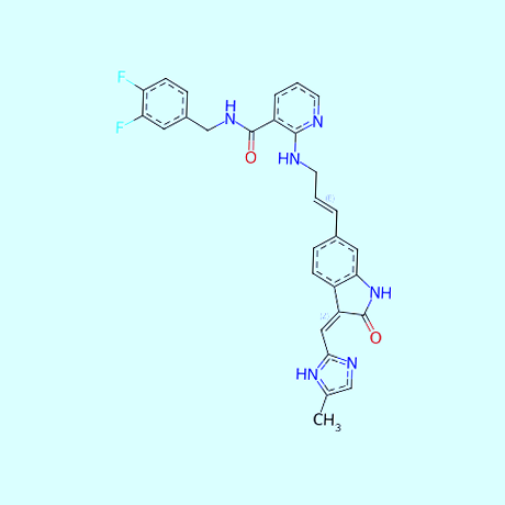 Cc1cnc(/C=C2\C(=O)Nc3cc(/C=C/CNc4ncccc4C(=O)NCc4ccc(F)c(F)c4)ccc32)[nH]1